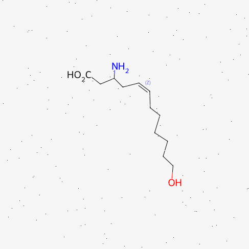 NC(C/C=C\CCCCCCO)CC(=O)O